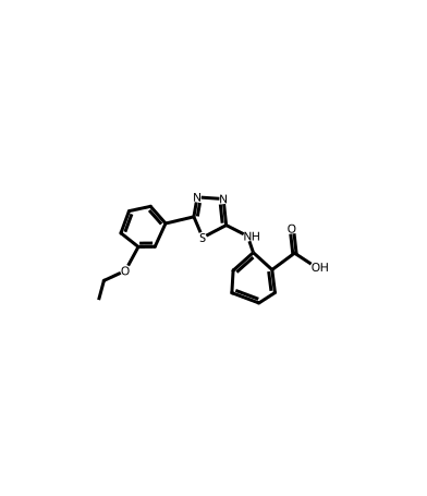 CCOc1cccc(-c2nnc(Nc3ccccc3C(=O)O)s2)c1